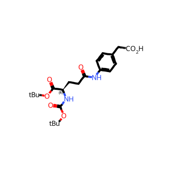 CC(C)(C)OC(=O)N[C@H](CCC(=O)Nc1ccc(CC(=O)O)cc1)C(=O)OC(C)(C)C